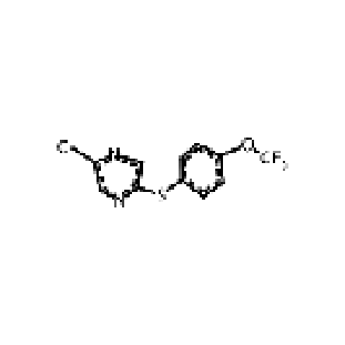 FC(F)(F)Oc1ccc(Sc2cnc(Cl)cn2)cc1